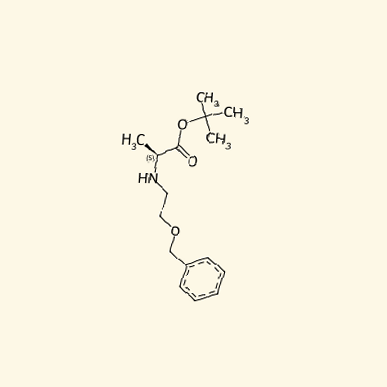 C[C@H](NCCOCc1ccccc1)C(=O)OC(C)(C)C